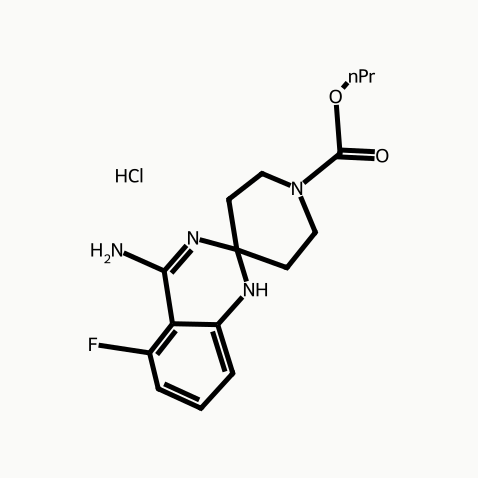 CCCOC(=O)N1CCC2(CC1)N=C(N)c1c(F)cccc1N2.Cl